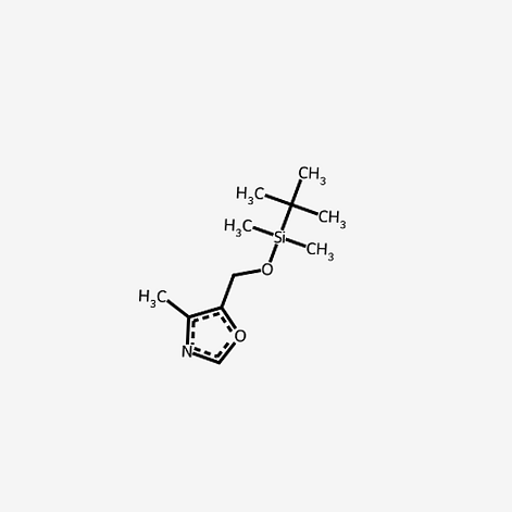 Cc1ncoc1CO[Si](C)(C)C(C)(C)C